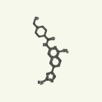 Bc1nc(NC(=O)C2CCN(CC(C)C)CC2)cc2cc(-c3cnn(C)c3)ccc12